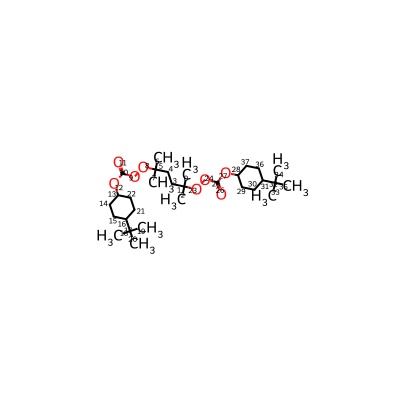 CC(C)(CCC(C)(C)OOC(=O)OC1CCC(C(C)(C)C)CC1)OOC(=O)OC1CCC(C(C)(C)C)CC1